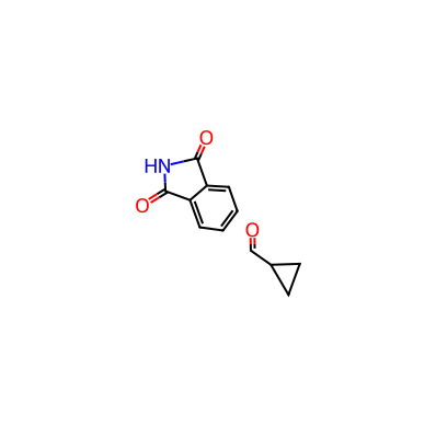 O=C1NC(=O)c2ccccc21.O=CC1CC1